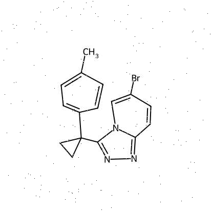 Cc1ccc(C2(c3nnc4ccc(Br)cn34)CC2)cc1